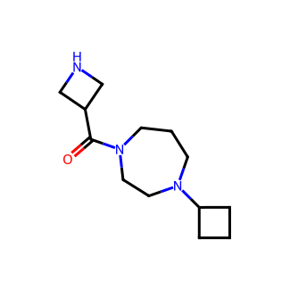 O=C(C1CNC1)N1CCCN(C2CCC2)CC1